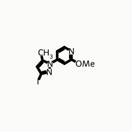 COc1cc(-n2nc(I)cc2C)ccn1